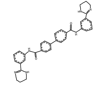 O=C(Nc1cccc(C2=NCCCN2)c1)c1ccc(-c2ccc(C(=O)Nc3cccc(C4=NCCCN4)c3)cc2)cc1